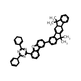 CC1(C)C2=CC3c4ccccc4C(C)(C)C3C=C2c2cc(-c3ccc4oc5c(-c6nc(C7=CCCC=C7)nc(C7C=CC=CC7)n6)cccc5c4c3)ccc21